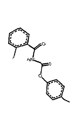 Cc1ccc(OC(=O)NC(=O)c2ccccc2F)cc1